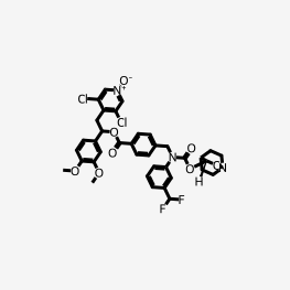 COc1ccc(C(Cc2c(Cl)c[n+]([O-])cc2Cl)OC(=O)c2ccc(CN(C(=O)O[C@H]3CN4CCC3CC4)c3cccc(C(F)F)c3)cc2)cc1OC